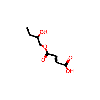 CCC(O)COC(=O)/C=C/C(=O)O